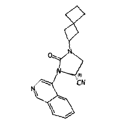 N#C[C@H]1CN(C2CC3(CCC3)C2)C(=O)N1c1cncc2ccccc12